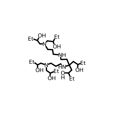 CCC(O)CN(CCCNCCC(CC(O)CC)(CC(O)CC)NCCCN(CC(O)CC)CC(O)CC)CC(O)CC